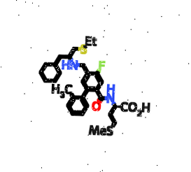 CCSCC(CC1CCCCC1)NCc1cc(-c2ccccc2C)c(C(=O)N[C@@H](CCSC)C(=O)O)cc1F